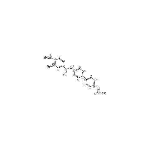 CCCCCCCCCc1ccc(C(=O)Oc2ccc(-c3ccc(OCCCCCC)cc3)cc2)cc1Br